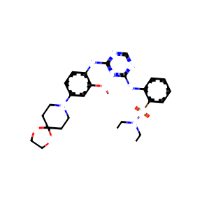 CCN(CC)S(=O)(=O)c1ccccc1Nc1ncnc(Nc2ccc(N3CCC4(CC3)OCCO4)cc2OC)n1